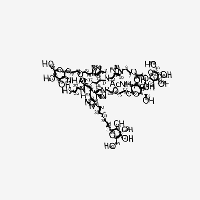 CC(=O)N[C@H]1[C@H](OCCOCCn2cc(CN(CCCC[C@@H](C(=O)NCCS)N(Cc3cn(CCOCCO[C@@H]4O[C@H](CO)[C@H](O)[C@H](O)[C@H]4C)nn3)c3cn(CCOCCO[C@@H]4O[C@H](CO)[C@H](O)[C@H](O)[C@H]4NC(C)=O)nn3)Cc3cn(CCOCCO[C@@H]4O[C@H](CO)[C@H](O)[C@H](O)[C@H]4NC(C)=O)nn3)nn2)O[C@H](CO)[C@H](O)[C@@H]1O